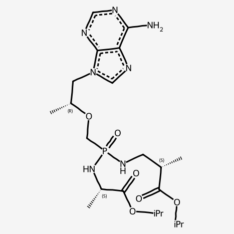 CC(C)OC(=O)[C@H](C)NP(=O)(CO[C@H](C)Cn1cnc2c(N)ncnc21)NC[C@H](C)C(=O)OC(C)C